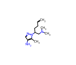 C=CCCC(CN(C)C)n1ncc(N)c1C